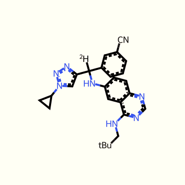 [2H]C(Nc1ccc2ncnc(NCC(C)(C)C)c2c1)(c1cccc(C#N)c1)c1cn(C2CC2)nn1